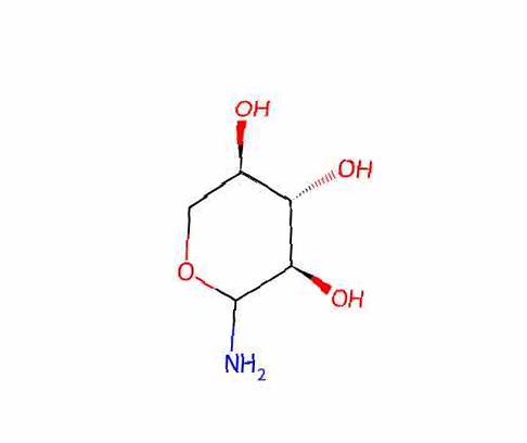 NC1OC[C@@H](O)[C@H](O)[C@H]1O